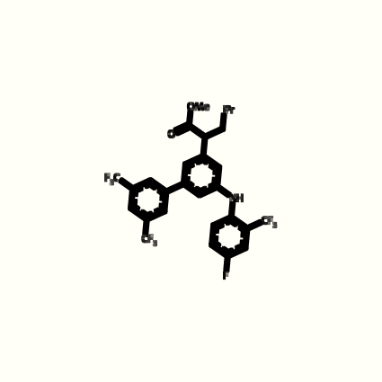 COC(=O)C(CC(C)C)c1cc(Nc2ccc(F)cc2C(F)(F)F)cc(-c2cc(C(F)(F)F)cc(C(F)(F)F)c2)c1